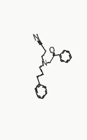 N#CCCN(CCCc1ccccc1)CC(=O)c1ccccc1